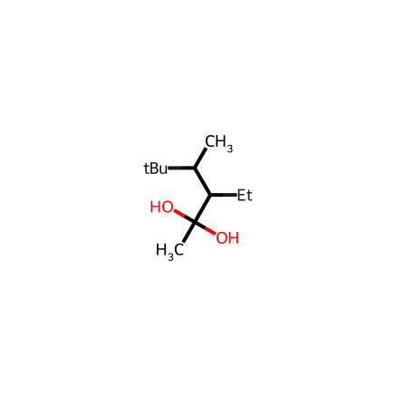 CCC(C(C)C(C)(C)C)C(C)(O)O